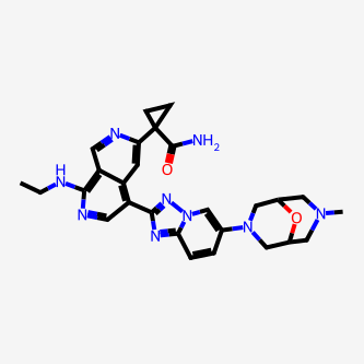 CCNc1ncc(-c2nc3ccc(N4CC5CN(C)CC(C4)O5)cn3n2)c2cc(C3(C(N)=O)CC3)ncc12